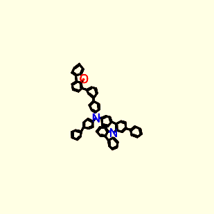 c1ccc(-c2ccc(N(c3ccc(-c4cccc(-c5cccc6c5oc5ccccc56)c4)cc3)c3ccc(-c4ccc(-c5ccccc5)cc4-n4c5ccccc5c5ccccc54)cc3)cc2)cc1